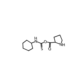 O=C(OC(=S)NC1CCCCC1)C1CCCN1